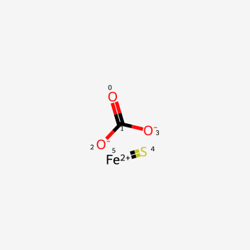 O=C([O-])[O-].[S]=[Fe+2]